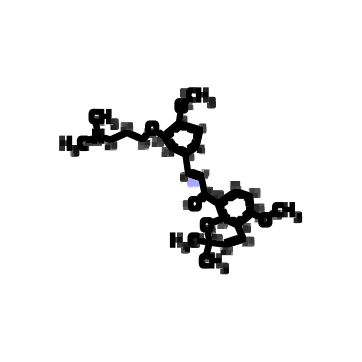 COc1ccc(/C=C/C(=O)c2ccc(OC)c3c2OC(C)(C)C=C3)cc1OCCCN(C)C